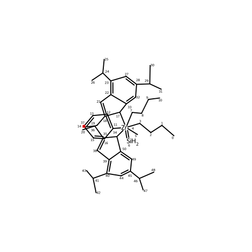 CCC[CH2][Zr]([CH3])(=[SiH2])([CH2]CCC)([c]1ccccc1)([CH]1C(CC)=Cc2c(C(C)C)cc(C(C)C)cc21)[CH]1C(CC)=Cc2c(C(C)C)cc(C(C)C)cc21